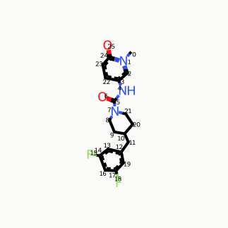 Cn1cc(NC(=O)N2CCC(Cc3cc(F)cc(F)c3)CC2)ccc1=O